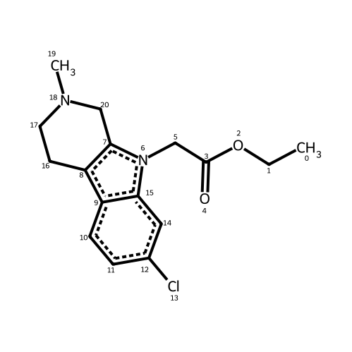 CCOC(=O)Cn1c2c(c3ccc(Cl)cc31)CCN(C)C2